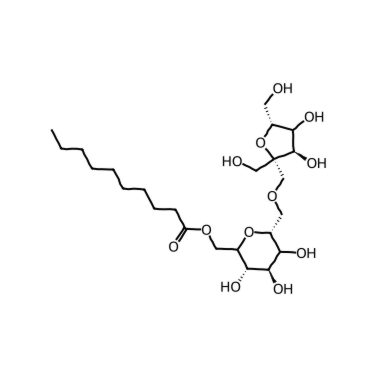 CCCCCCCCCC(=O)OCC1O[C@H](COC[C@]2(CO)O[C@H](CO)C(O)[C@H]2O)C(O)[C@@H](O)[C@@H]1O